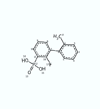 Cc1ccccc1-c1cccc(P(=O)(O)O)c1F